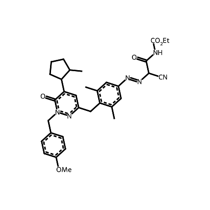 CCOC(=O)NC(=O)C(C#N)/N=N/c1cc(C)c(Cc2cc(C3CCCC3C)c(=O)n(Cc3ccc(OC)cc3)n2)c(C)c1